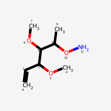 C=CC(OC)C(OC)C(C)ON